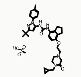 CS(=O)(=O)O.Cc1ccc(-n2nc(C(C)(C)C)cc2NC(=O)Nc2ccc(OCCN3CCN(CC4CC4)C(=O)C3)c3c2CCC3)cc1